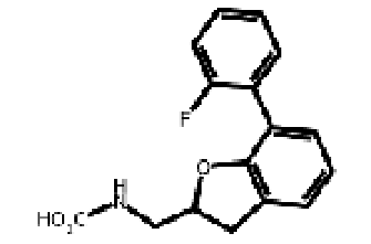 O=C(O)NCC1Cc2cccc(-c3ccccc3F)c2O1